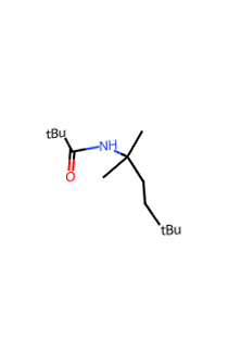 CC(C)(C)CCC(C)(C)NC(=O)C(C)(C)C